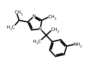 Cc1nc(C(C)C)cn1C(C)(C)c1cccc(N)c1